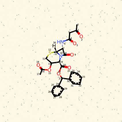 CC(=O)CC(=O)N[C@@H]1C(=O)N2[C@@H]1SCC(OC(C)=O)[C@@H]2C(=O)OC(c1ccccc1)c1ccccc1